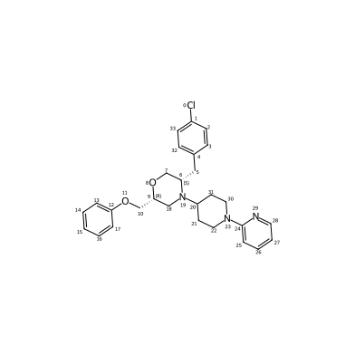 Clc1ccc(C[C@H]2CO[C@@H](COc3ccccc3)CN2C2CCN(c3ccccn3)CC2)cc1